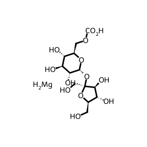 O=C(O)OC[C@H]1O[C@H](O[C@]2(CO)O[C@H](CO)[C@@H](O)[C@@H]2O)[C@H](O)[C@@H](O)[C@@H]1O.[MgH2]